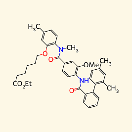 CCOC(=O)CCCCCOc1cc(C)ccc1N(C)C(=O)c1ccc(NC(=O)c2ccccc2-c2ccc(C)cc2C)c(OC)c1